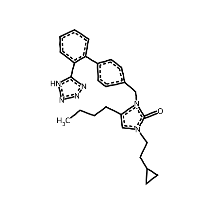 CCCCc1cn(CCC2CC2)c(=O)n1Cc1ccc(-c2ccccc2-c2nnn[nH]2)cc1